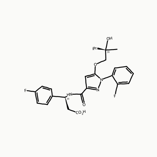 CC(C)[C@](C)(O)COc1cc(C(=O)N[C@@H](CC(=O)O)c2ccc(F)cc2)nn1-c1ccccc1F